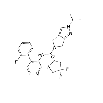 CC(C)n1cc2c(n1)CN(C(=O)Nc1c(-c3ccccc3F)ccnc1N1CCC(F)(F)C1)C2